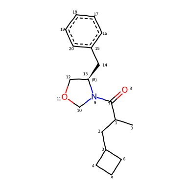 CC(CC1CCC1)C(=O)N1COC[C@H]1Cc1ccccc1